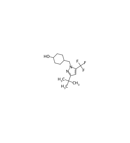 CC(C)(C)c1cc(C(F)(F)F)n(CC2CCC(O)CC2)n1